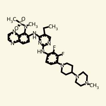 CCc1cnc(Nc2ccc(N3CCC(N4CCN(C)CC4)CC3)c(F)c2F)nc1Nc1ccc2nccnc2c1N(C)S(C)(=O)=O